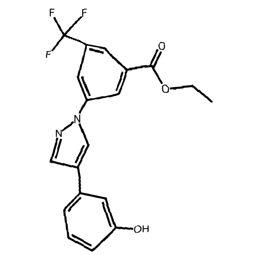 CCOC(=O)c1cc(-n2cc(-c3cccc(O)c3)cn2)cc(C(F)(F)F)c1